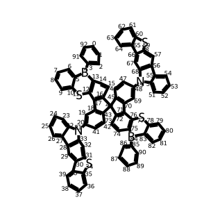 c1ccc(B2c3ccccc3Sc3c2ccc2c3-c3cc(-n4c5ccccc5c5cc6c(cc54)sc4ccccc46)ccc3C23c2ccc(-n4c5ccccc5c5cc6sc7ccccc7c6cc54)cc2-c2c3ccc3c2Sc2ccccc2B3c2ccccc2)cc1